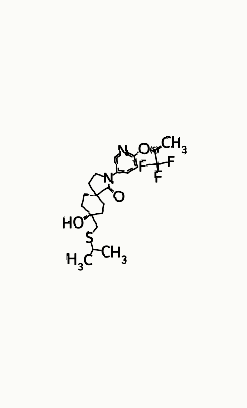 CC(C)SC[C@]1(O)CC[C@]2(CCN(c3ccc(O[C@@H](C)C(F)(F)F)nc3)C2=O)CC1